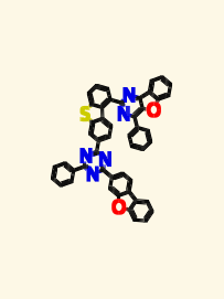 c1ccc(-c2nc(-c3ccc4c(c3)oc3ccccc34)nc(-c3ccc4c(c3)sc3cccc(-c5nc(-c6ccccc6)c6oc7ccccc7c6n5)c34)n2)cc1